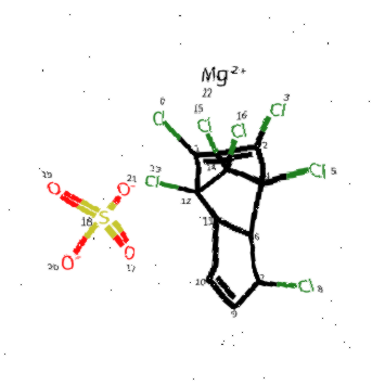 ClC1=C(Cl)C2(Cl)C3C(Cl)C=CC3C1(Cl)C2(Cl)Cl.O=S(=O)([O-])[O-].[Mg+2]